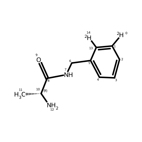 [2H]c1cccc(CNC(=O)[C@@H](C)N)c1[2H]